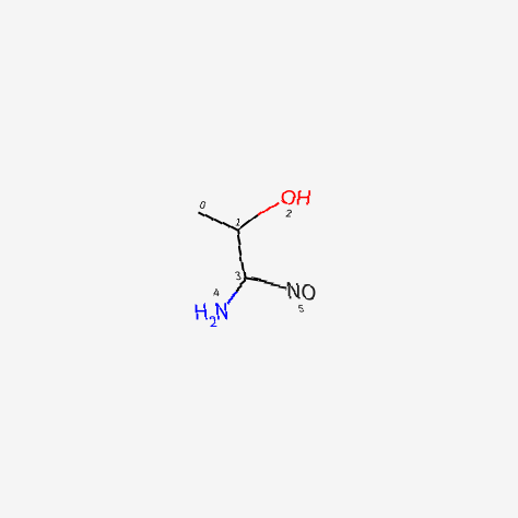 CC(O)C(N)N=O